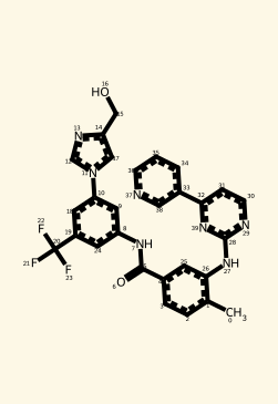 Cc1ccc(C(=O)Nc2cc(-n3cnc(CO)c3)cc(C(F)(F)F)c2)cc1Nc1nccc(-c2cccnc2)n1